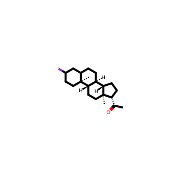 CC(=O)[C@H]1CC[C@H]2[C@@H]3CCC4CC(I)CC[C@]4(C)[C@H]3CC[C@]12C